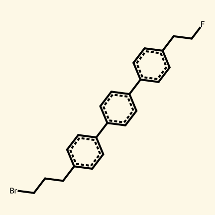 FCCc1ccc(-c2ccc(-c3ccc(CCCBr)cc3)cc2)cc1